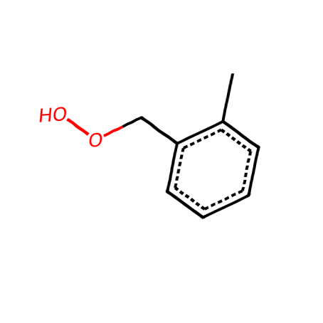 Cc1ccccc1COO